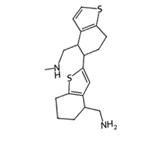 CNCC1c2ccsc2CCC1c1cc2c(s1)CCCC2CN